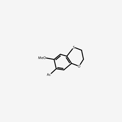 COc1cc2c(cc1C(C)=O)OCCS2